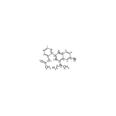 CC(=O)Oc1ccccc1-c1nc(N(C)C)c2cc(Br)ccc2n1